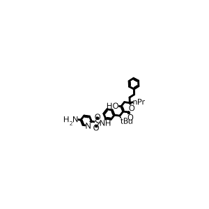 CCCC1(CCc2ccccc2)CC(O)=C([C@H](c2cccc(NS(=O)(=O)c3ccc(N)cn3)c2)C(C)(C)C)C(=O)O1